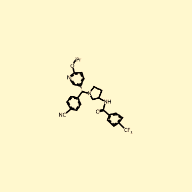 CC(C)Oc1ccc([C@@H](c2ccc(C#N)cc2)N2CCC(NC(=O)c3ccc(C(F)(F)F)cc3)C2)cn1